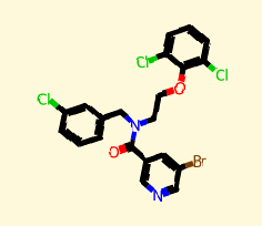 O=C(c1cncc(Br)c1)N(CCOc1c(Cl)cccc1Cl)Cc1cccc(Cl)c1